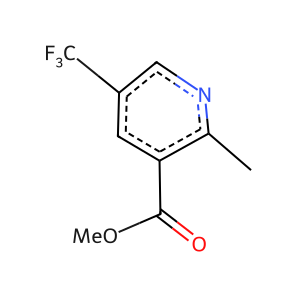 COC(=O)c1cc(C(F)(F)F)cnc1C